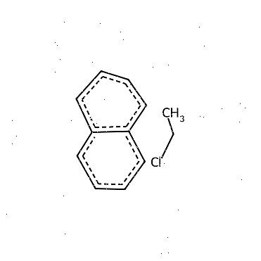 CCCl.c1ccc2ccccc2c1